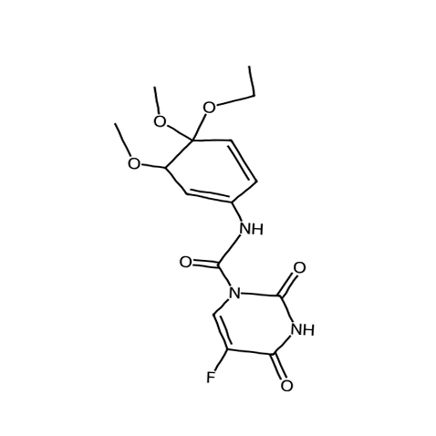 CCOC1(OC)C=CC(NC(=O)n2cc(F)c(=O)[nH]c2=O)=CC1OC